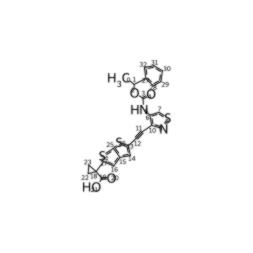 CC(OC(=O)Nc1csnc1C#Cc1cc2cc(C3(C(=O)O)CC3)sc2s1)c1ccccc1